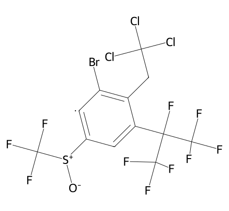 [O-][S+](c1[c]c(Br)c(CC(Cl)(Cl)Cl)c(C(F)(C(F)(F)F)C(F)(F)F)c1)C(F)(F)F